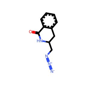 [N-]=[N+]=NCC1Cc2ccccc2C(=O)N1